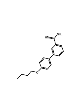 CCCCOc1ccc(-c2[c]ccc(C(=N)N)c2)cc1